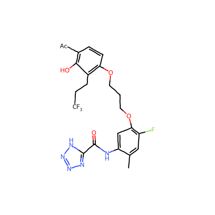 CC(=O)c1ccc(OCCCOc2cc(NC(=O)c3nnn[nH]3)c(C)cc2F)c(CCC(F)(F)F)c1O